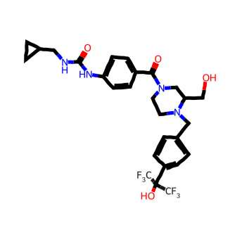 O=C(NCC1CC1)Nc1ccc(C(=O)N2CCN(Cc3ccc(C(O)(C(F)(F)F)C(F)(F)F)cc3)C(CO)C2)cc1